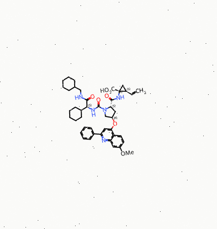 C=C[C@@H]1C[C@]1(NC(=O)[C@@H]1C[C@@H](Oc2cc(-c3ccccc3)nc3cc(OC)ccc23)CN1C(=O)N[C@H](C(=O)NCC1CCCCC1)C1CCCCC1)C(=O)O